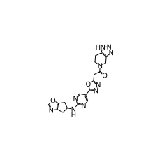 O=C(Cc1nnc(-c2cnc(NC3Cc4ncoc4C3)nc2)o1)N1CCc2[nH]nnc2C1